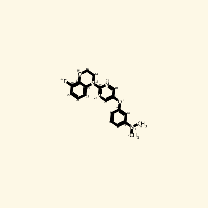 CN(C)c1cccc(Oc2cnc(N3CCOc4c(F)cccc43)nc2)c1